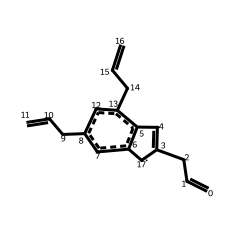 C=CCC1=Cc2c(cc(CC=C)cc2CC=C)[CH]1